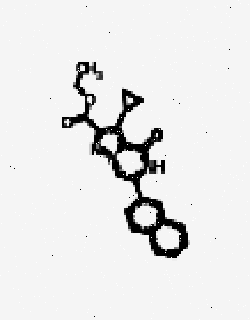 CCOC(=O)c1nn2cc(-c3ccc4ccccc4c3)[nH]c(=O)c2c1C1CC1